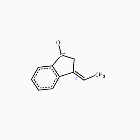 C/C=C1\C[S+]([O-])c2ccccc21